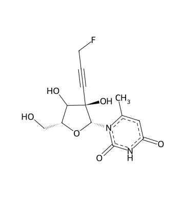 Cc1cc(=O)[nH]c(=O)n1[C@@H]1O[C@H](CO)C(O)[C@]1(O)C#CCF